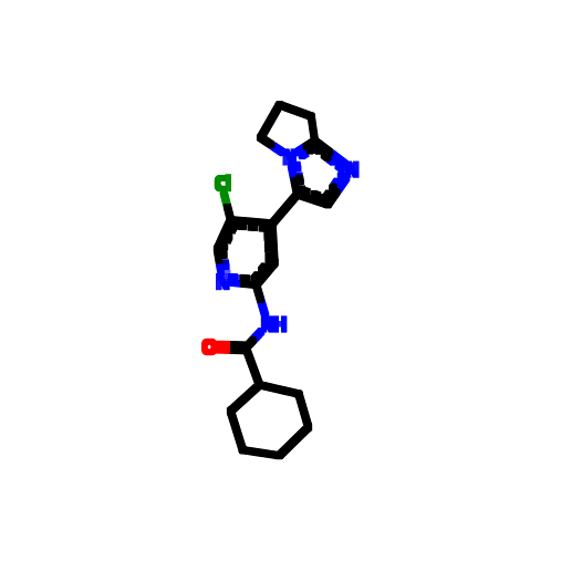 O=C(Nc1cc(-c2cnc3n2CCC3)c(Cl)cn1)C1CCCCC1